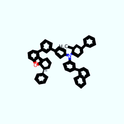 CC1CC(c2ccccc2)=CC=C1N(c1cccc(-c2cccc3ccccc23)c1)C1C=C=C(c2cccc(-c3cccc4oc5c(c34)C=CC[C@H]5c3ccccc3)c2)C=C1